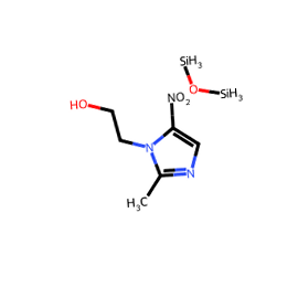 Cc1ncc([N+](=O)[O-])n1CCO.[SiH3]O[SiH3]